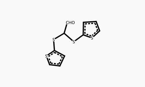 O=CC(Sc1cccs1)Sc1cccs1